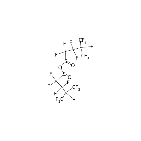 O=S(OS(=O)C(F)(F)C(F)(F)C(F)(C(F)(F)F)C(F)(F)F)C(F)(F)C(F)(F)C(F)(C(F)(F)F)C(F)(F)F